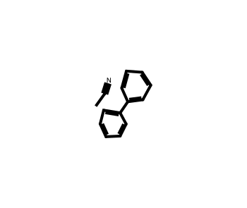 CC#N.c1ccc(-c2ccccc2)cc1